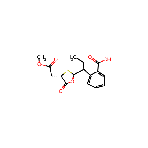 CC[C@@H](c1ccccc1C(=O)O)[C@H]1OC(=O)[C@H](CC(=O)OC)S1